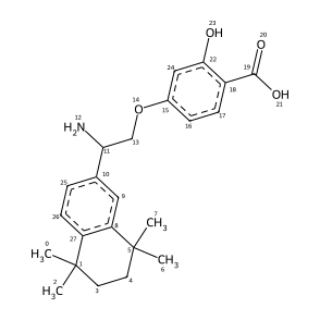 CC1(C)CCC(C)(C)c2cc(C(N)COc3ccc(C(=O)O)c(O)c3)ccc21